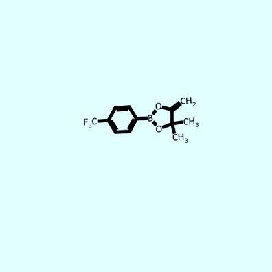 C=C1OB(c2ccc(C(F)(F)F)cc2)OC1(C)C